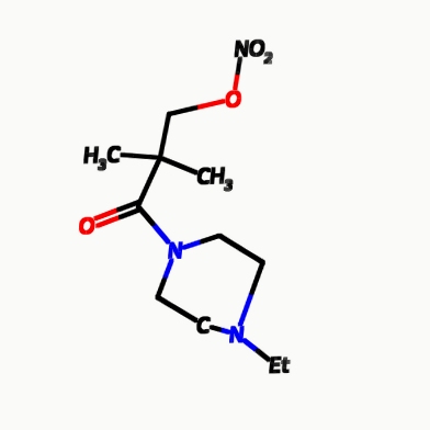 [CH2]CN1CCN(C(=O)C(C)(C)CO[N+](=O)[O-])CC1